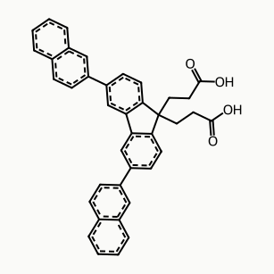 O=C(O)CCC1(CCC(=O)O)c2ccc(-c3ccc4ccccc4c3)cc2-c2cc(-c3ccc4ccccc4c3)ccc21